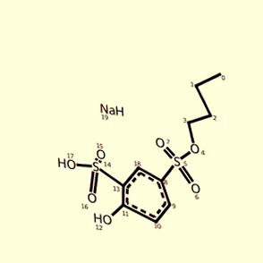 CCCCOS(=O)(=O)c1ccc(O)c(S(=O)(=O)O)c1.[NaH]